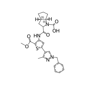 COC(=O)c1sc(-c2cn(Cc3ccccc3)nc2C)cc1NC(=O)C1C[C@@H]2CCC[C@@H]2N1C(=O)O